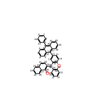 c1ccc(-c2c3ccccc3c(-c3ccc4c(c3)B3c5ccc6ccccc6c5Oc5cccc(c53)O4)c3ccccc23)cc1